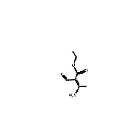 CCOC(=O)/C(C=S)=C(\C)N